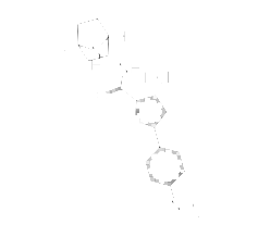 Cl.O=C(N[C@@H]1C[C@H]2CC[C@@H]1N2)c1ccc(-c2ccc([N+](=O)[O-])cc2)o1